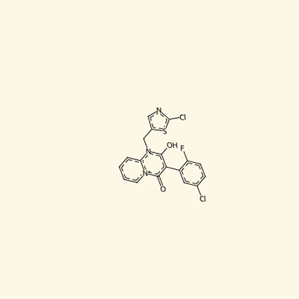 O=c1c(-c2cc(Cl)ccc2F)c(O)n(Cc2cnc(Cl)s2)c2cccc[n+]12